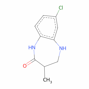 CC1CNc2cc(Cl)ccc2NC1=O